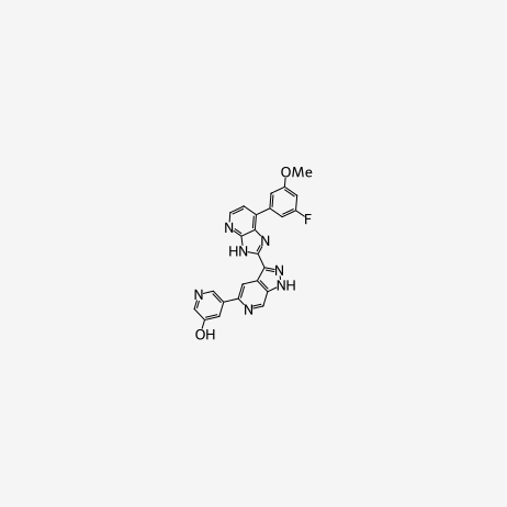 COc1cc(F)cc(-c2ccnc3[nH]c(-c4n[nH]c5cnc(-c6cncc(O)c6)cc45)nc23)c1